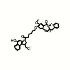 COc1cc2c(cc1OCCCCCC(=O)N1CC(CCl)c3c1cc(O)c1ccccc31)N=C[C@@H]1Cc3ccccc3CN1C2=O